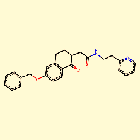 O=C(CC1CCc2cc(OCc3ccccc3)ccc2C1=O)NCCc1ccccn1